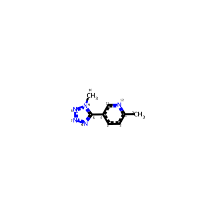 Cc1ccc(-c2nnnn2C)cn1